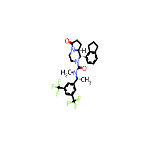 C[C@H](c1cc(C(F)(F)F)cc(C(F)(F)F)c1)N(C)C(=O)N1CCN2C(=O)CC[C@H]2[C@@H]1c1cccc2c1CCC2